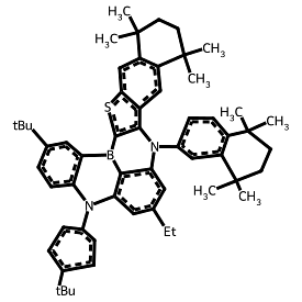 CCc1cc2c3c(c1)N(c1ccc4c(c1)C(C)(C)CCC4(C)C)c1c(sc4cc5c(cc14)C(C)(C)CCC5(C)C)B3c1cc(C(C)(C)C)ccc1N2c1ccc(C(C)(C)C)cc1